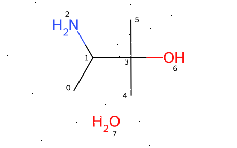 CC(N)C(C)(C)O.O